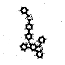 c1ccc(-c2nnc(-c3ccc(-c4ccc(-n5c6ccccc6c6cc7c(cc65)c(-c5ccccc5)nc5ccccc57)cc4)cc3)o2)cc1